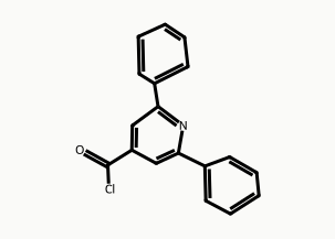 O=C(Cl)c1cc(-c2ccccc2)nc(-c2ccccc2)c1